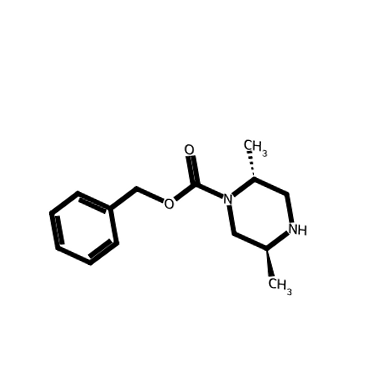 C[C@@H]1CN[C@@H](C)CN1C(=O)OCc1ccccc1